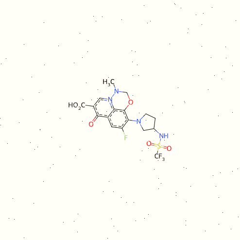 CN1COc2c(N3CCC(NS(=O)(=O)C(F)(F)F)C3)c(F)cc3c(=O)c(C(=O)O)cn1c23